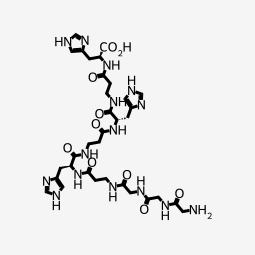 NCC(=O)NCC(=O)NCC(=O)NCCC(=O)N[C@@H](Cc1c[nH]cn1)C(=O)NCCC(=O)N[C@@H](Cc1c[nH]cn1)C(=O)NCCC(=O)N[C@@H](Cc1c[nH]cn1)C(=O)O